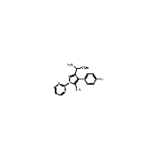 COC(OC)c1nn(-c2ncccn2)c(N)c1-c1ccc(Br)cc1